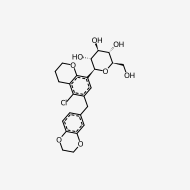 OC[C@H]1O[C@@H](c2cc(Cc3ccc4c(c3)OCCO4)c(Cl)c3c2OCCC3)[C@H](O)[C@@H](O)[C@@H]1O